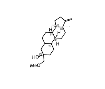 C=C1CC[C@H]2[C@@H]3CCC4C[C@@](O)(COC)CC[C@@H]4[C@H]3CC[C@]12C